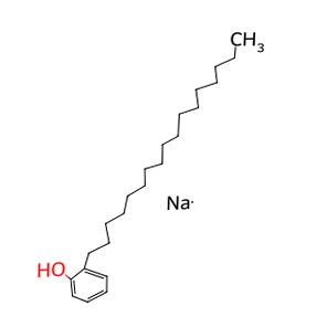 CCCCCCCCCCCCCCCCCc1ccccc1O.[Na]